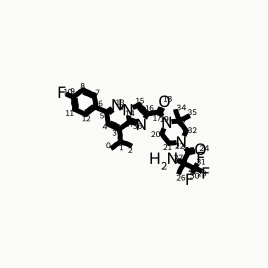 CC(C)c1cc(-c2ccc(F)cc2)nn2cc(C(=O)N3CCN(C(=O)C(C)(N)C(F)(F)F)CC3(C)C)nc12